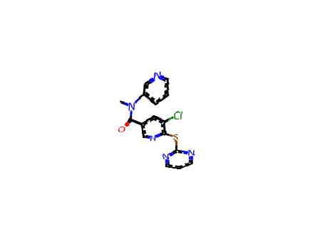 CN(C(=O)c1cnc(Sc2ncccn2)c(Cl)c1)c1cccnc1